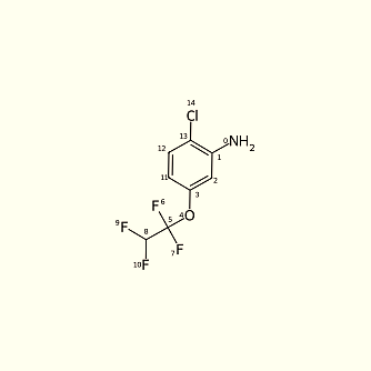 Nc1cc(OC(F)(F)C(F)F)ccc1Cl